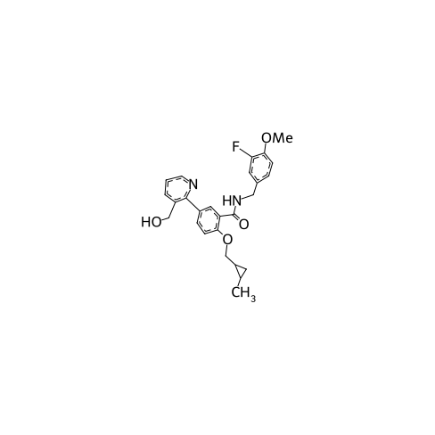 COc1ccc(CNC(=O)c2cc(-c3ncccc3CO)ccc2OCC2CC2C)cc1F